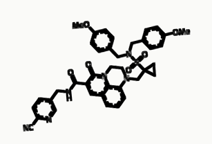 COc1ccc(CN(Cc2ccc(OC)cc2)S(=O)(=O)C2(CN3CCn4c(=O)c(C(=O)NCc5ccc(C#N)nc5)cc5cccc3c54)CC2)cc1